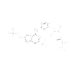 CC(C)NC(=O)O[C@@H]1CO[C@H](c2cc(Nc3nc(C(F)(F)F)cc4nc(COC(F)(F)F)cn34)n[nH]2)[C@@H]1F